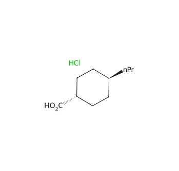 CCC[C@H]1CC[C@H](C(=O)O)CC1.Cl